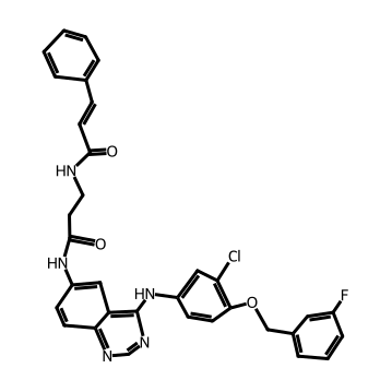 O=C(C=Cc1ccccc1)NCCC(=O)Nc1ccc2ncnc(Nc3ccc(OCc4cccc(F)c4)c(Cl)c3)c2c1